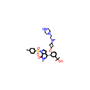 Cc1ccc(S(=O)(=O)n2ccc3c(-c4cc(C(C)(C)O)ccc4OC4CC(N(C)CCN5CCNCC5)C4)cn(C)c(=O)c32)cc1